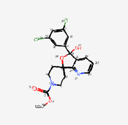 CC(C)(C)OC(=O)N1CCC2(CC1)OC(O)(c1cc(Cl)cc(Cl)c1)c1cccnc12